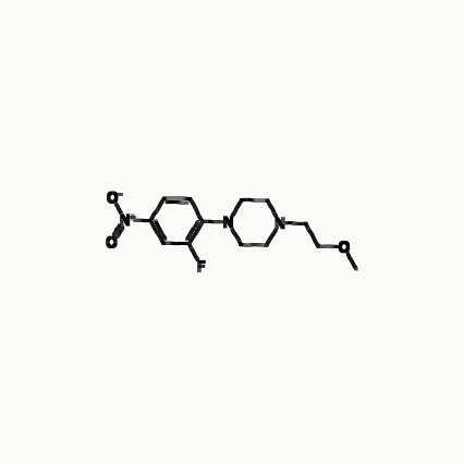 COCCN1CCN(c2ccc([N+](=O)[O-])cc2F)CC1